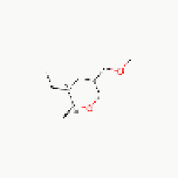 CC[C@H]1CC(COC)CO[C@H]1C